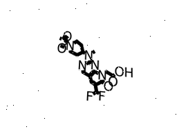 CN(c1ncc2cc(C(F)F)c(=O)n(CC(=O)O)c2n1)C1CCN(S(C)(=O)=O)CC1